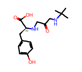 CC(C)(C)NCC(=O)CN[C@@H](Cc1ccc(O)cc1)C(=O)O